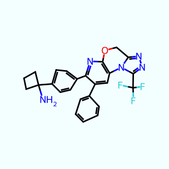 NC1(c2ccc(-c3nc4c(cc3-c3ccccc3)-n3c(nnc3C(F)(F)F)CO4)cc2)CCC1